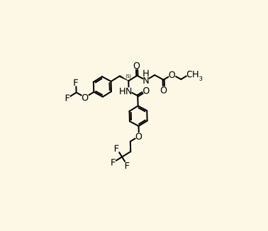 CCOC(=O)CNC(=O)[C@H](Cc1ccc(OC(F)F)cc1)NC(=O)c1ccc(OCCC(F)(F)F)cc1